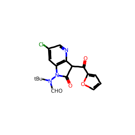 CC(C)(C)N(C=O)N1C(=O)C(C(=O)c2ccco2)c2ncc(Cl)cc21